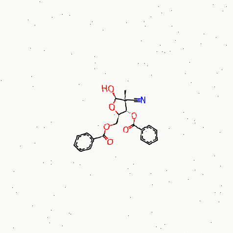 C[C@]1(C#N)[C@H](O)O[C@H](COC(=O)c2ccccc2)[C@H]1OC(=O)c1ccccc1